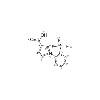 O=C(O)c1cnn(-c2ccccc2C(F)(F)F)c1